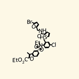 CCOC(=O)c1oc2ccc(S(=O)(=O)N(CC)c3ccc(Cl)cc3C[SH]3C=CC=C3C(=O)NCc3ccc(Br)o3)cc2c1C